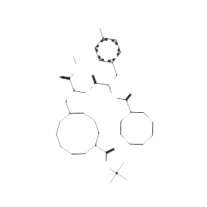 COC(=O)[C@H](CC1CCCCCC(C(=O)OC(C)(C)C)CCC1)NC(=O)[C@@H](Cc1ccc(I)cc1)NC(=O)C1CCCCCCC1